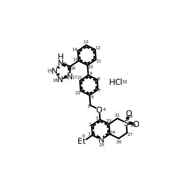 CCc1cc(OCc2ccc(-c3ccccc3-c3nnn[nH]3)cc2)c2c(n1)CCS(=O)(=O)C2.Cl